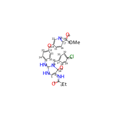 CCC(=O)NC1=CNC(Nc2ccc(Oc3ccc(C(=O)OC)nc3)cc2)N(Cc2ccc(Cl)cc2)C1=O